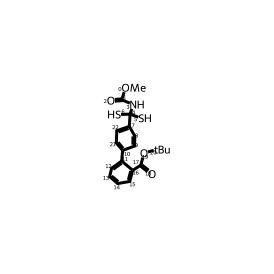 COC(=O)NC(S)(S)c1ccc(-c2ccccc2C(=O)OC(C)(C)C)cc1